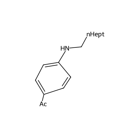 CCCCCCCCNc1ccc(C(C)=O)cc1